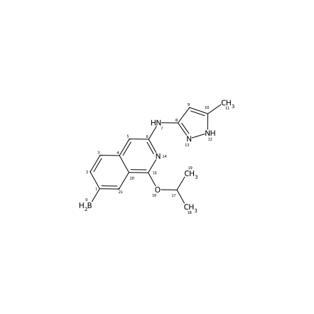 Bc1ccc2cc(Nc3cc(C)[nH]n3)nc(OC(C)C)c2c1